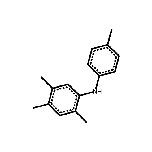 Cc1ccc(Nc2cc(C)c(C)cc2C)cc1